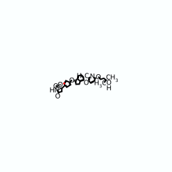 Cc1nc(OCCC(C)(C)O)ccc1Oc1cccc2c1CC[C@H]2Oc1ccc(C2CC(=O)NS2(=O)=O)cc1